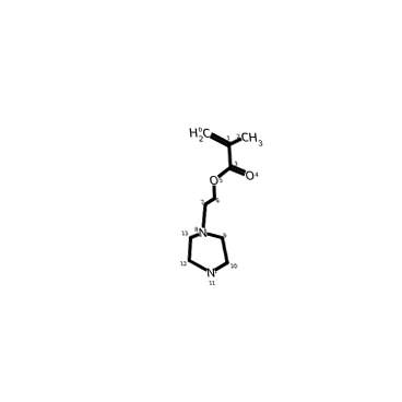 C=C(C)C(=O)OCCN1CC[N]CC1